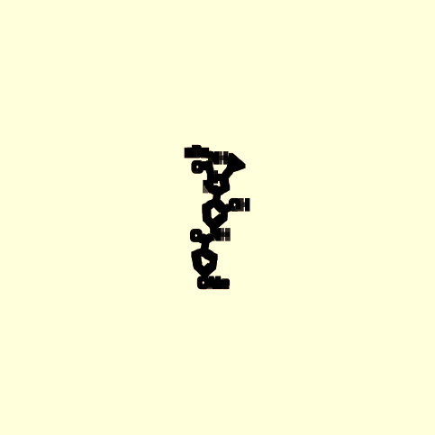 CCCCNC(=O)n1nc(-c2ccc(NC(=O)c3ccc(OC)cc3)cc2O)cc1C1CC1